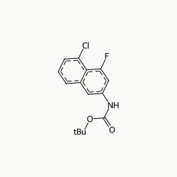 CC(C)(C)OC(=O)Nc1cc(F)c2c(Cl)cccc2c1